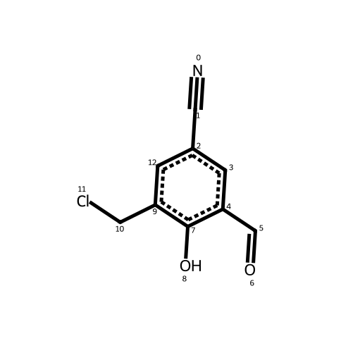 N#Cc1cc(C=O)c(O)c(CCl)c1